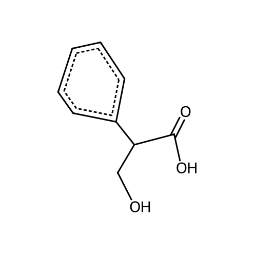 O=C(O)C(CO)c1ccccc1